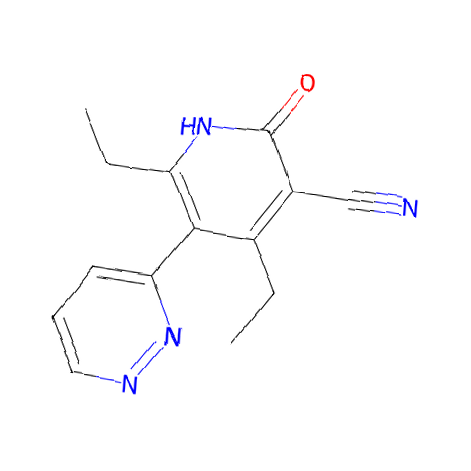 CCc1[nH]c(=O)c(C#N)c(CC)c1-c1cccnn1